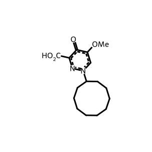 COc1cn(C2CCCCCCCCC2)nc(C(=O)O)c1=O